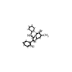 Cc1cc2nc(-c3ccccc3Cl)c(NC3CCCCC3)n2cc1Br